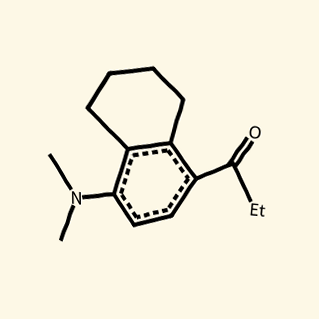 CCC(=O)c1ccc(N(C)C)c2c1CCCC2